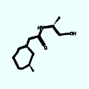 C[C@@H]1CCCN(CC(=O)N[C@H](C)CO)C1